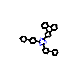 c1ccc(-c2ccc(-c3nc(-c4cccc(-c5ccccc5)c4)nc(-c4ccc5c6ccccc6c6ccccc6c5c4)n3)cc2)cc1